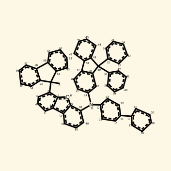 CC1(c2cccc3c2oc2c(N(c4ccc(-c5ccccc5)cc4)c4ccc5c(c4)C(c4ccccc4)(c4ccccc4)c4ccccc4-5)cccc23)c2ccccc2-c2ccccc21